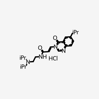 CC(C)c1ccc2ncn(/C=C/C(=O)NCCN(C(C)C)C(C)C)c(=O)c2c1.Cl